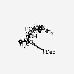 CCCCCCCCCCCCCCCCCCO[C@@H](C)[C@H](COP(=O)(O)OC[C@H]1O[C@@](C#N)(c2ccc3c(N)ncnn23)[C@H](O)[C@@H]1O)OCc1ccccc1